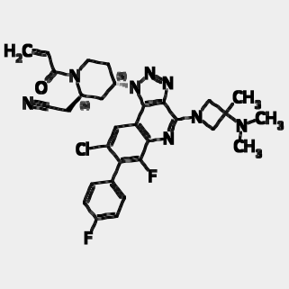 C=CC(=O)N1CC[C@H](n2nnc3c(N4CC(C)(N(C)C)C4)nc4c(F)c(-c5ccc(F)cc5)c(Cl)cc4c32)C[C@H]1CC#N